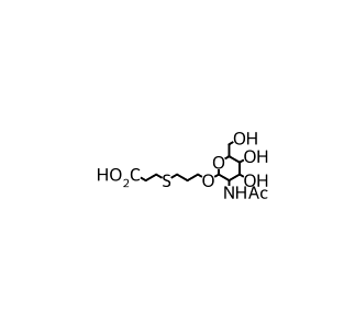 CC(=O)NC1C(OCCCSCCC(=O)O)OC(CO)C(O)C1O